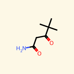 CC(C)(C)C(=O)CC(N)=O